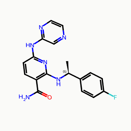 C[C@H](Nc1nc(Nc2cnccn2)ccc1C(N)=O)c1ccc(F)cc1